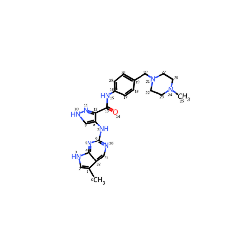 Cc1c[nH]c2nc(Nc3c[nH]nc3C(=O)Nc3ccc(CN4CCN(C)CC4)cc3)ncc12